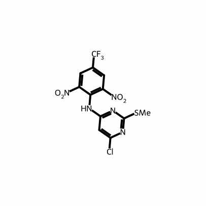 CSc1nc(Cl)cc(Nc2c([N+](=O)[O-])cc(C(F)(F)F)cc2[N+](=O)[O-])n1